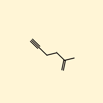 C#CC[CH]C(=C)C